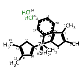 CC1=C(C)C[C]([Zr]([CH3])(=[SiH2])([C]2=CC(C)=C(C)C2)[c]2ccccc2)=C1.Cl.Cl